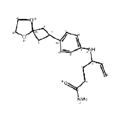 C=CC(CCC(=O)NC)Nc1ccc(C2CC3(C2)OCCO3)cc1